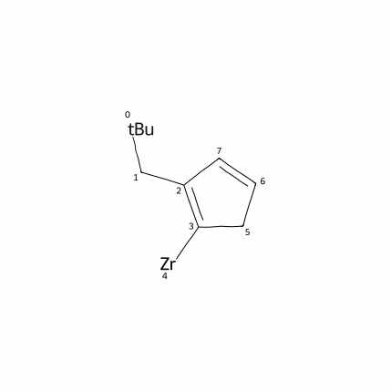 CC(C)(C)CC1=[C]([Zr])CC=C1